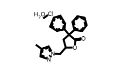 CCl.Cc1cnn(CC2CC(c3ccccc3)(c3ccccc3)C(=O)O2)c1.O